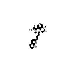 CC[C@H](C(=O)O)c1cnccc1N(CCCCc1ccc2c(n1)NCCC2)C[C@@H](C)OC